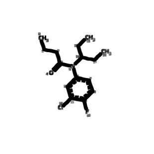 CCCC(=O)N(c1ccc(F)c(Cl)c1)C(CC)CC